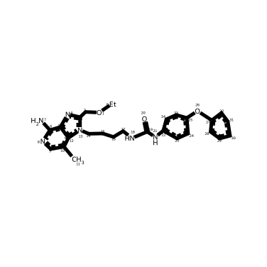 CCOCc1nc2c(N)ncc(C)c2n1CCCCNC(=O)Nc1ccc(Oc2ccccc2)cc1